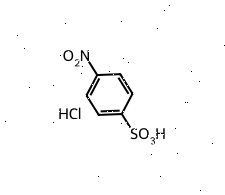 Cl.O=[N+]([O-])c1ccc(S(=O)(=O)O)cc1